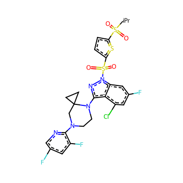 CC(C)S(=O)(=O)c1ccc(S(=O)(=O)n2nc(N3CCN(c4ncc(F)cc4F)CC34CC4)c3c(Cl)cc(F)cc32)s1